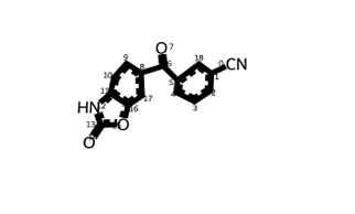 N#Cc1cccc(C(=O)c2ccc3[nH]c(=O)oc3c2)c1